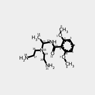 COc1cccc(OC)c1C(=O)NC(C)N(CCN)CCN